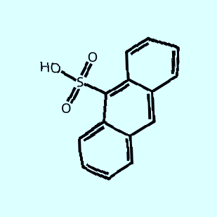 O=S(=O)(O)c1c2ccccc2cc2ccccc12